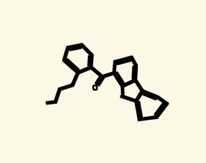 CCCCc1ccccc1C(=O)c1cccc2c1[C]c1ccccc1-2